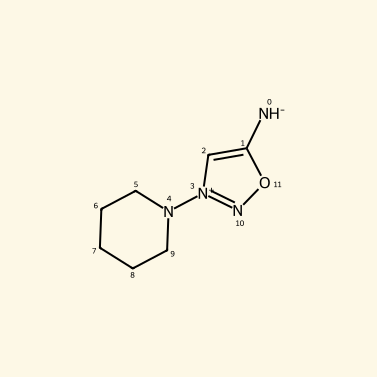 [NH-]c1c[n+](N2CCCCC2)no1